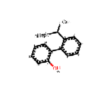 CCCCCCCCC(CCCCCCC)c1ccccc1-c1ccccc1O